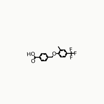 Cc1cc(C(F)(F)F)ccc1OCc1ccc(C(=O)O)cc1